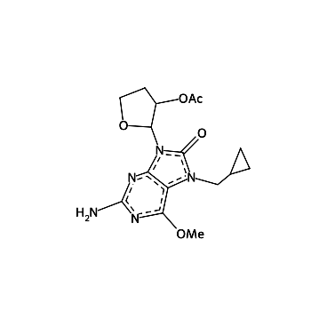 COc1nc(N)nc2c1n(CC1CC1)c(=O)n2C1OCCC1OC(C)=O